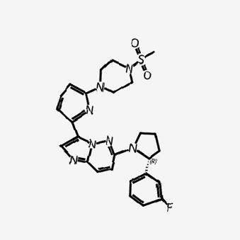 CS(=O)(=O)N1CCN(c2cccc(-c3cnc4ccc(N5CCC[C@@H]5c5cccc(F)c5)nn34)n2)CC1